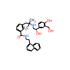 CC(C)(Cc1cccc(C(=O)NCCc2cccc3ccccc23)c1)NC[C@H](O)c1ccc(O)c(CO)c1